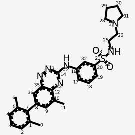 Cc1cccc(C)c1-c1cc(C)c2nc(Nc3cccc(S(=O)(=O)NCCN4CCCC4)c3)nnc2c1